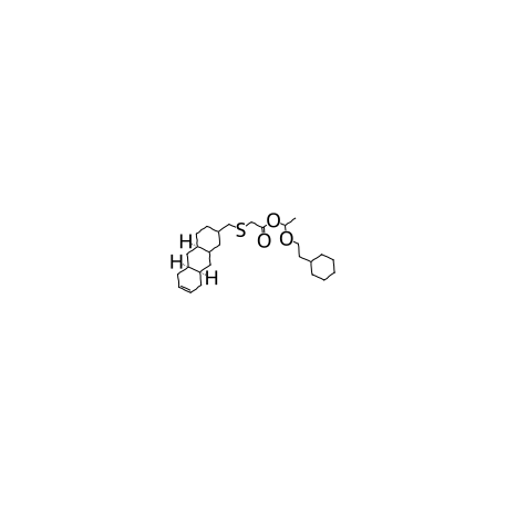 CC(OCCC1CCCCC1)OC(=O)CSCC1CC[C@@H]2C[C@@H]3CC=CC[C@@H]3CC2C1